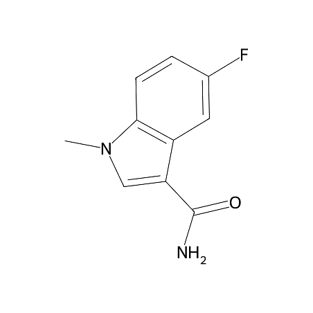 Cn1cc(C(N)=O)c2cc(F)ccc21